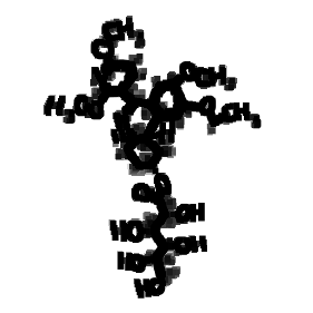 CCOc1cc2c(cc1OC)C(c1ccc(OC)nc1OC)=N[C@@H]1CC[C@@H](OC(=O)[C@H](O)[C@@H](O)[C@H](O)[C@H](O)CO)C[C@H]21